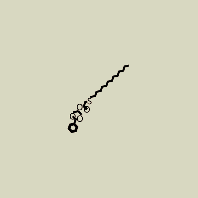 CCCCCCCCCCCCCCSCC(=O)OC1COC(c2ccccc2)OC1